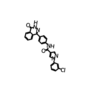 O=C(Nc1ccc(-c2n[nH]c(=O)c3ccccc23)cc1)c1cnn(-c2cccc(Cl)c2)c1